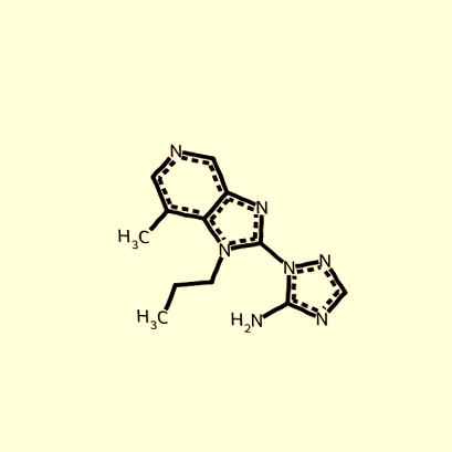 CCCn1c(-n2ncnc2N)nc2cncc(C)c21